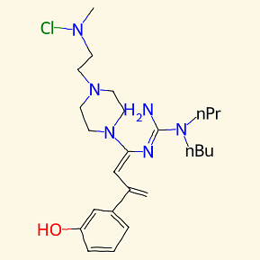 C=C(/C=C(\N=C(/N)N(CCC)CCCC)N1CCN(CCN(C)Cl)CC1)c1cccc(O)c1